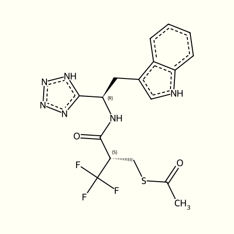 CC(=O)SC[C@@H](C(=O)N[C@H](Cc1c[nH]c2ccccc12)c1nnn[nH]1)C(F)(F)F